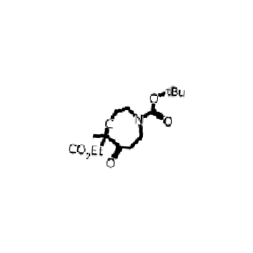 CCOC(=O)C1(C)CCCN(C(=O)OC(C)(C)C)CCC1=O